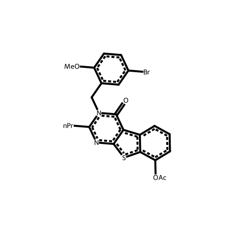 CCCc1nc2sc3c(OC(C)=O)cccc3c2c(=O)n1Cc1cc(Br)ccc1OC